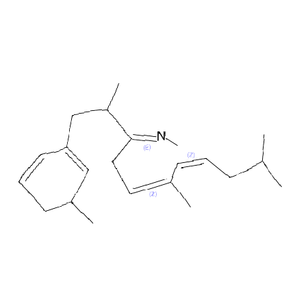 C/N=C(\C/C=C(C)\C=C/CC(C)C)C(C)CC1=CC(C)CC=C1